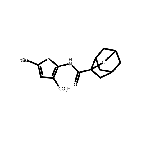 CC(C)(C)c1cc(C(=O)O)c(NC(=O)C23CC4CC(CC2C4)C3)s1